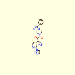 O=C(C(=O)N1CCn2c(nnc2-c2ccccc2)C1)c1c[nH]c2c(-n3ccnn3)ncc(F)c12